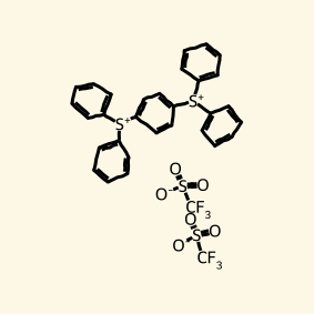 O=S(=O)([O-])C(F)(F)F.O=S(=O)([O-])C(F)(F)F.c1ccc([S+](c2ccccc2)c2ccc([S+](c3ccccc3)c3ccccc3)cc2)cc1